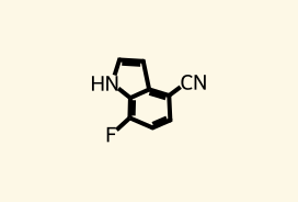 N#Cc1ccc(F)c2[nH]ccc12